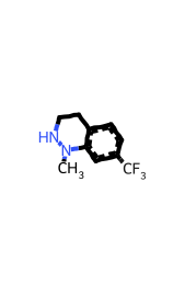 CN1NCCc2ccc(C(F)(F)F)cc21